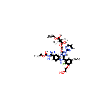 COc1cc(OCCO)c(F)c(C(Nc2ccc([C@H](N)NC(=O)OCC(C)(C)C)cc2)c2nc(OCOC(=O)C(C)(C)C(=O)OCC(C)(C)C)n(-c3ncccn3)n2)c1